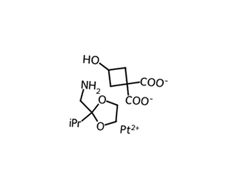 CC(C)C1(CN)OCCO1.O=C([O-])C1(C(=O)[O-])CC(O)C1.[Pt+2]